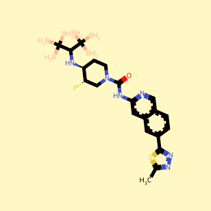 BC(B)(B)C(N[C@H]1CCN(C(=O)Nc2cc3cc(-c4nnc(C)s4)ccc3cn2)C[C@@H]1F)C(B)(B)B